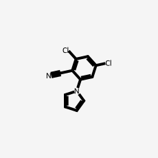 N#Cc1c(Cl)cc(Cl)cc1-n1cccc1